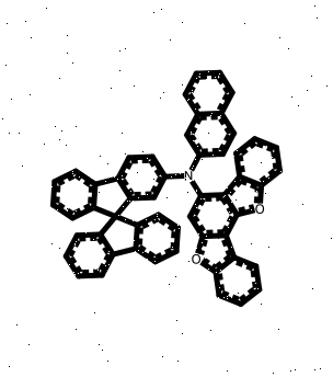 c1ccc2c(c1)-c1ccccc1C21c2ccccc2-c2ccc(N(c3ccc4ccccc4c3)c3cc4oc5ccccc5c4c4oc5ccccc5c34)cc21